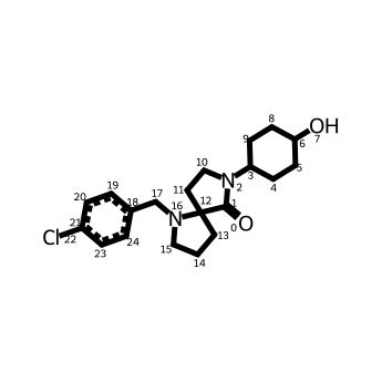 O=C1N(C2CCC(O)CC2)CCC12CCCN2Cc1ccc(Cl)cc1